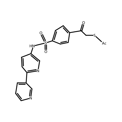 CC(=O)SCC(=O)c1ccc(S(=O)(=O)Nc2ccc(-c3cccnc3)nc2)cc1